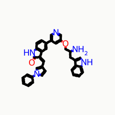 NC(COc1cncc(-c2ccc3c(c2)C(=Cc2ccn(-c4ccccc4)c2)C(=O)N3)c1)Cc1c[nH]c2ccccc12